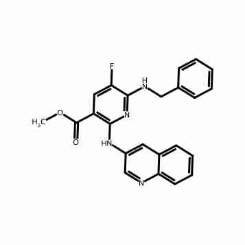 COC(=O)c1cc(F)c(NCc2ccccc2)nc1Nc1cnc2ccccc2c1